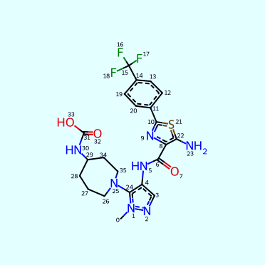 Cn1ncc(NC(=O)c2nc(-c3ccc(C(F)(F)F)cc3)sc2N)c1N1CCCC(NC(=O)O)CC1